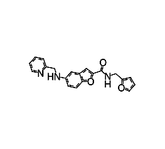 O=C(NCc1ccco1)c1cc2cc(NCc3ccccn3)ccc2o1